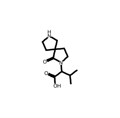 CC(C)C(C(=O)O)N1CCC2(CCNC2)C1=O